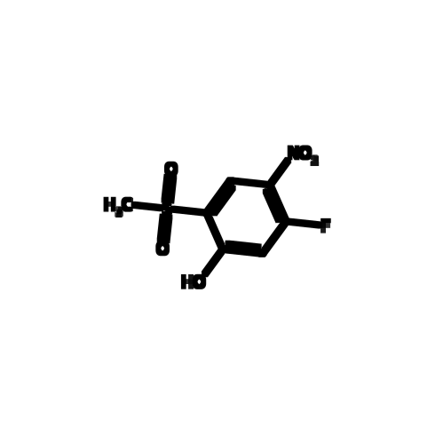 CS(=O)(=O)c1cc([N+](=O)[O-])c(F)cc1O